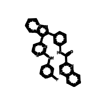 O=C(Nc1cccc(-c2nn3ccccc3c2-c2ccnc(Nc3cccc(F)c3)n2)c1)c1cnc2ccccc2n1